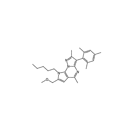 CCCCCn1c(COC)cc2c(C)nc3c(-c4c(C)cc(C)cc4C)c(C)nn3c21